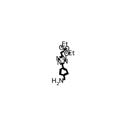 CCOP(=O)(Cc1nnc(-c2ccc(CN)cc2)nn1)OCC